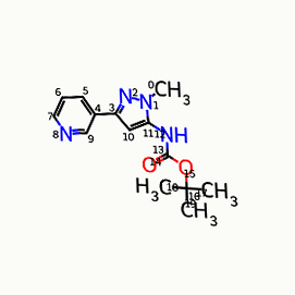 Cn1nc(-c2cccnc2)cc1NC(=O)OC(C)(C)C